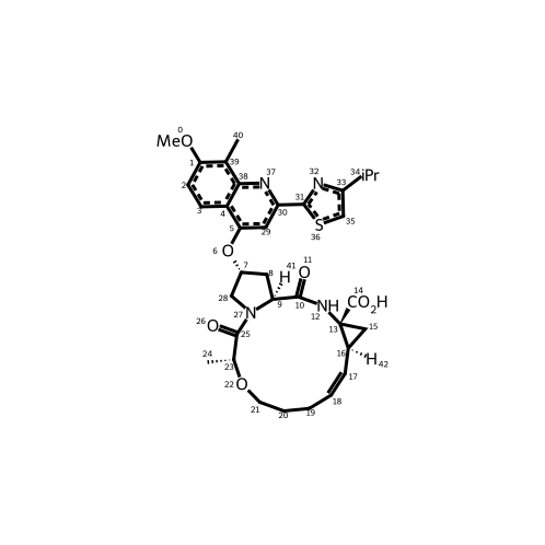 COc1ccc2c(O[C@@H]3C[C@H]4C(=O)N[C@]5(C(=O)O)C[C@H]5/C=C\CCCO[C@H](C)C(=O)N4C3)cc(-c3nc(C(C)C)cs3)nc2c1C